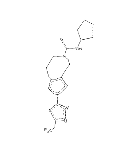 O=C(NC1CCCC1)N1CCc2sc(-c3noc(C(F)(F)F)n3)cc2C1